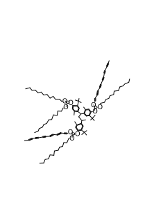 CC#CC#CC#CC#CC#CC#COP(OCCCCCCCCCCCCC)Oc1cc(C)c(C(C)CC(c2cc(C(C)(C)C)c(OP(OC#CC#CC#CC#CC#CC#CC)OCCCCCCCCCCCCC)cc2C)c2cc(C(C)(C)C)c(OP(OCCCCCCCCCCCCC)OCCCCCCCCCCCCC)cc2C)cc1C(C)(C)C